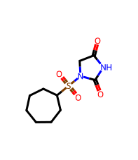 O=C1CN(S(=O)(=O)C2CCCCCC2)C(=O)N1